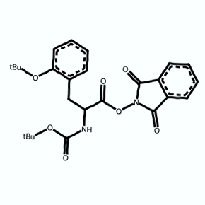 CC(C)(C)OC(=O)NC(Cc1ccccc1OC(C)(C)C)C(=O)ON1C(=O)c2ccccc2C1=O